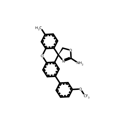 Cc1ccc2c(c1)Oc1ccc(-c3cccc(OC(F)(F)F)c3)cc1[C@]21COC(N)=N1